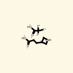 O=C(O)C(F)(F)F.O=C(O)CCC1CNC1